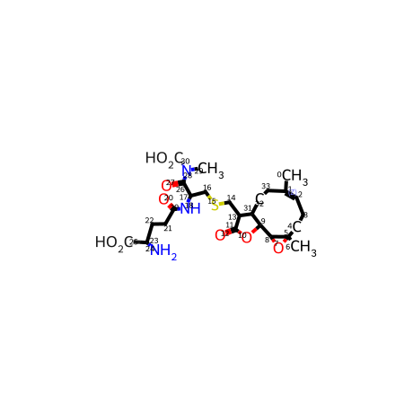 C/C1=C/CCC2(C)OC2C2OC(=O)C(CSCC(NC(=O)CCC(N)C(=O)O)C(=O)N(C)C(=O)O)C2CC1